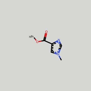 CCCOC(=O)c1cn(C)cn1